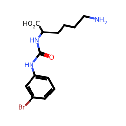 NCCCCC(NC(=O)Nc1cccc(Br)c1)C(=O)O